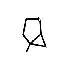 CC12CC[N]C1C2